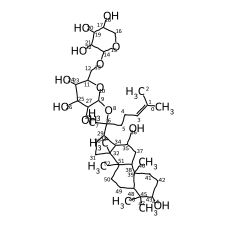 CC(C)=CCCC(C)(OC1OC(COC2OCC(O)C(O)C2O)C(O)C(O)C1O)C1CCC2(C)C1C(O)CC1C3(C)CCC(O)C(C)(C)C3CCC12C